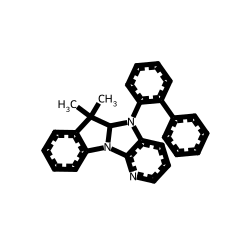 CC1(C)c2ccccc2N2c3ncccc3N(c3ccccc3-c3ccccc3)C21